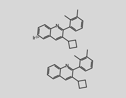 Cc1cccc(-c2nc3ccccc3cc2C2CCC2)c1C.Cc1cccc(-c2nc3ccccc3cc2C2CCC2)c1C.[Ir+3]